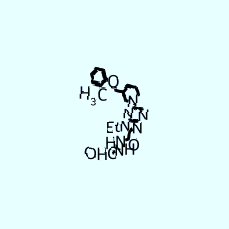 CCn1c(C(=O)NNC=O)nc2ncc(N3CCCC(COc4ccccc4C)C3)nc21